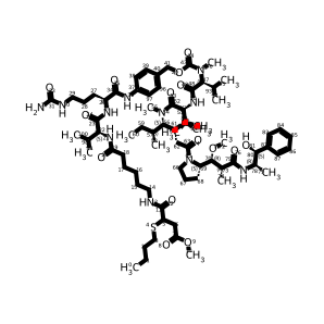 CCCCSC(CC(=O)OC)C(=O)NCCCCCC(=O)N[C@H](C(=O)N[C@@H](CCCNC(N)=O)C(=O)Nc1ccc(COC(=O)N(C)[C@H](C(=O)N[C@H](C(=O)N(C)[C@@H]([C@@H](C)CC)[C@@H](CC(=O)N2CCC[C@H]2[C@H](OC)[C@@H](C)C(=O)N[C@H](C)[C@@H](O)c2ccccc2)OC)C(C)C)C(C)C)cc1)C(C)C